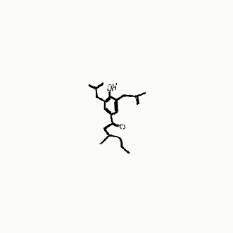 CCCC(C)CC(=O)c1cc(CC(C)C)c(O)c(CC(C)C)c1